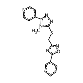 Cn1c(SCc2noc(-c3ccccc3)n2)nnc1-c1ccncc1